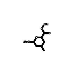 CCCCOC(=O)C1CC(C)=CC(OC)O1